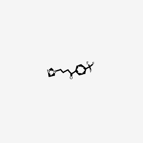 O=C(CCCn1ccnc1)c1ccc(C(F)(F)F)cc1